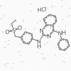 CCS(=O)(=O)Cc1ccc(Nc2nc(Nc3ccccc3)c3ccccc3n2)cc1.Cl